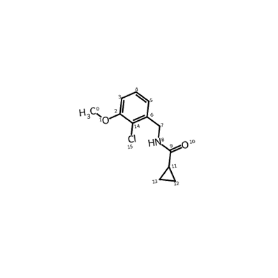 COc1cccc(CNC(=O)C2CC2)c1Cl